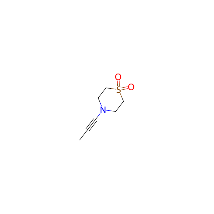 CC#CN1CCS(=O)(=O)CC1